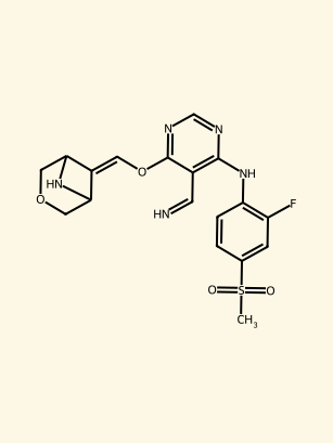 CS(=O)(=O)c1ccc(Nc2ncnc(OC=C3C4COCC3N4)c2C=N)c(F)c1